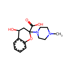 CN1CCN(C2(C(=O)O)CC(O)c3ccccc3O2)CC1